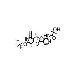 CC1=C(OCC(C)(F)F)NNC(C(C)N2Cc3c(ccnc3NC(=O)C(C)(C)O)C2=O)=C1